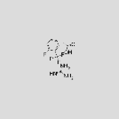 CC(=O)O.Fc1ccccc1C(F)(F)F.N=C(N)N